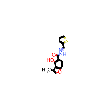 Cc1coc2ccc(C(=O)N/N=C/c3cccs3)c(O)c12